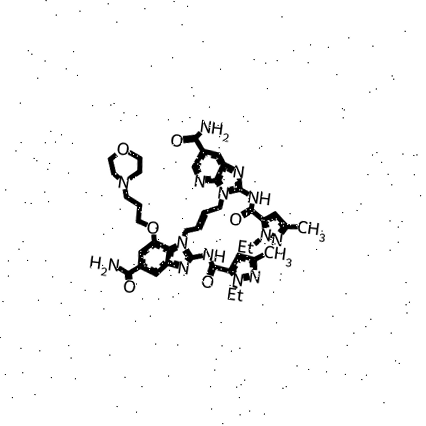 CCn1nc(C)cc1C(=O)Nc1nc2cc(C(N)=O)cnc2n1C/C=C/Cn1c(NC(=O)c2cc(C)nn2CC)nc2cc(C(N)=O)cc(OCCCN3CCOCC3)c21